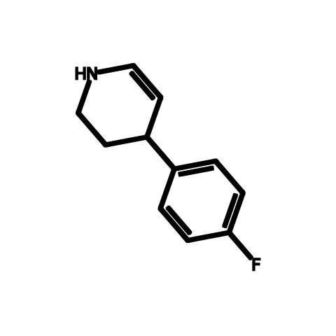 Fc1ccc(C2C=CNCC2)cc1